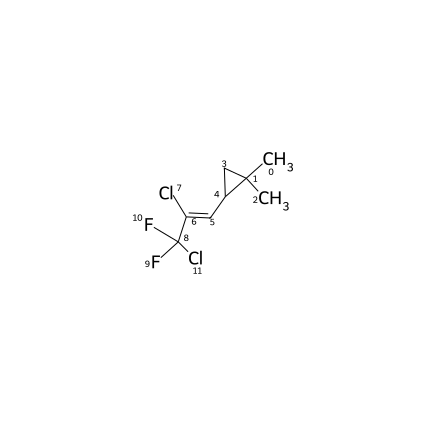 CC1(C)CC1C=C(Cl)C(F)(F)Cl